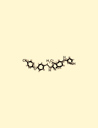 Cn1c(NCc2ccc(Oc3ncc(Cl)cn3)cc2)nc2ccc(Nc3cc[nH]n3)cc21